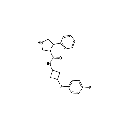 O=C(NC1CC(Oc2ccc(F)cc2)C1)C1CNCC1c1ccccc1